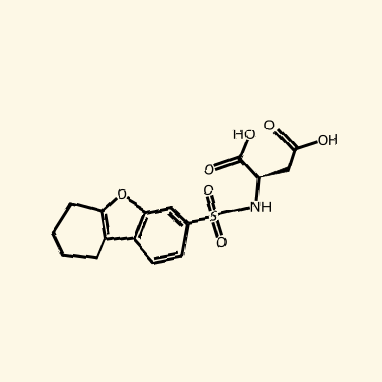 O=C(O)C[C@@H](NS(=O)(=O)c1ccc2c3c(oc2c1)CCCC3)C(=O)O